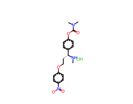 CN[C@H](CCOc1ccc([N+](=O)[O-])cc1)c1ccc(OC(=O)N(C)C)cc1.Cl